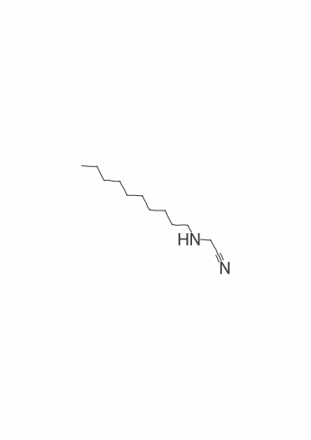 CCCCCCCCCCNCC#N